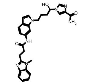 Cn1c(CCC(=O)Nc2ccc3ccn(CCC[C@@H](O)n4cnc(C(N)=O)c4)c3c2)nc2ccccc21